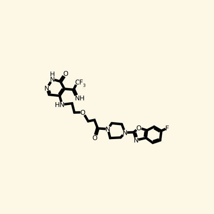 N=C(c1c(NCCOCCC(=O)N2CCN(c3nc4ccc(F)cc4o3)CC2)cn[nH]c1=O)C(F)(F)F